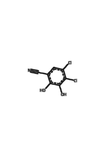 N#Cc1cc(Cl)c(Cl)c(O)c1O